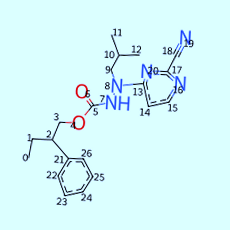 CCC(COC(=O)NN(CC(C)C)c1ccnc(C#N)n1)c1ccccc1